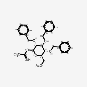 CC(=O)OC[C@H]1OC(OC(=N)C(Cl)(Cl)Cl)[C@H](OCc2ccccc2)[C@@H](OCc2ccccc2)[C@@H]1OCc1ccccc1